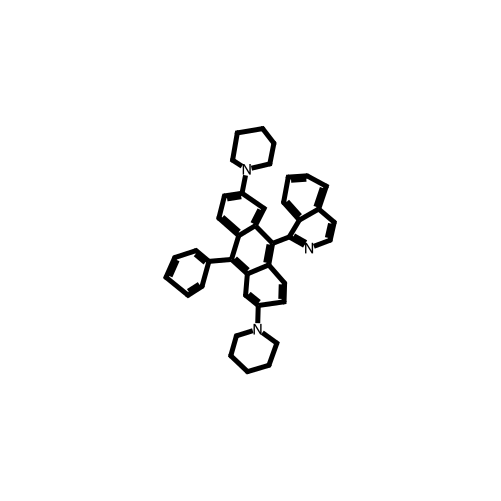 c1ccc(-c2c3cc(N4CCCCC4)ccc3c(-c3nccc4ccccc34)c3cc(N4CCCCC4)ccc23)cc1